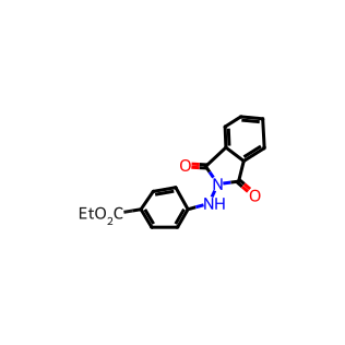 CCOC(=O)c1ccc(NN2C(=O)c3ccccc3C2=O)cc1